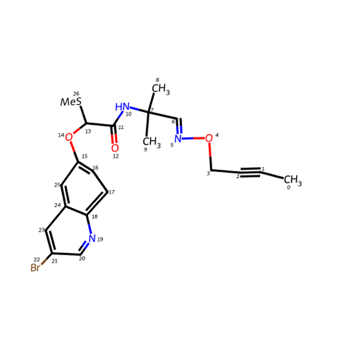 CC#CCON=CC(C)(C)NC(=O)C(Oc1ccc2ncc(Br)cc2c1)SC